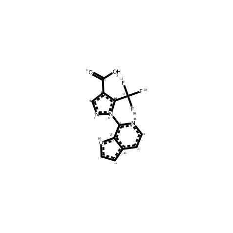 O=C(O)c1cnn(-c2nccc3ccoc23)c1C(F)(F)F